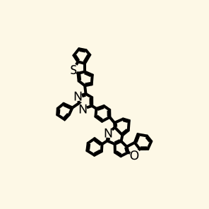 c1ccc(-c2nc(-c3ccc(-c4cccc5c4nc(-c4ccccc4)c4ccc6oc7ccccc7c6c45)cc3)cc(-c3ccc4c(c3)sc3ccccc34)n2)cc1